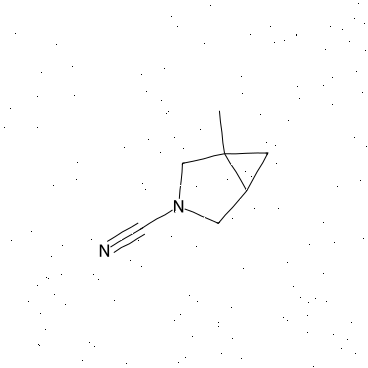 CC12CC1CN(C#N)C2